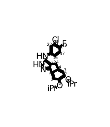 CC(C)Oc1cc2c(cc1OC(C)C)-c1n[nH]c(Nc3ccc(F)c(Cl)c3)c1C2